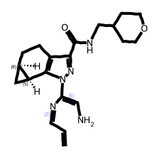 C=C/C=N\C(=C/N)n1nc(C(=O)NCC2CCOCC2)c2c1[C@H]1C[C@H]1CC2